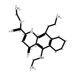 CCCc1c2c(c(NCC)c3c(=O)cc(C(=O)OCC)oc13)CCCC2